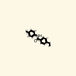 CCc1ccc(C(=O)Nc2ccc(C)cc2)cc1